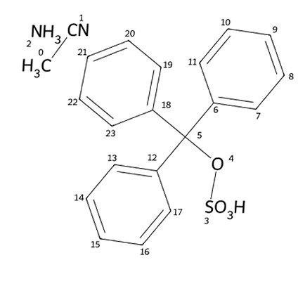 CC#N.N.O=S(=O)(O)OC(c1ccccc1)(c1ccccc1)c1ccccc1